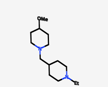 CCN1CCC(CN2CCC(OC)CC2)CC1